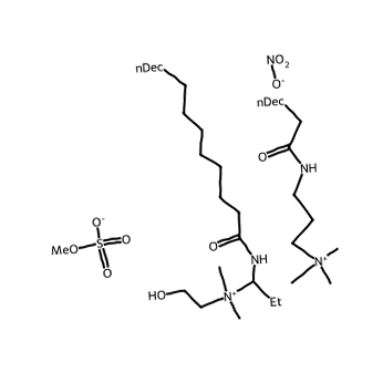 CCCCCCCCCCCC(=O)NCCC[N+](C)(C)C.CCCCCCCCCCCCCCCCCC(=O)NC(CC)[N+](C)(C)CCO.COS(=O)(=O)[O-].O=[N+]([O-])[O-]